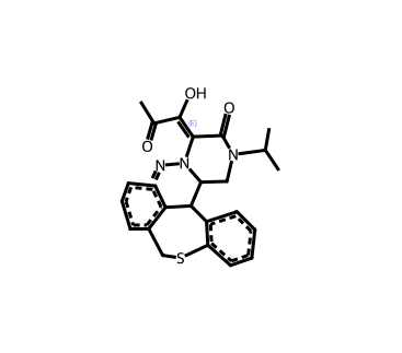 C=NN1/C(=C(/O)C(C)=O)C(=O)N(C(C)C)CC1C1c2ccccc2CSc2ccccc21